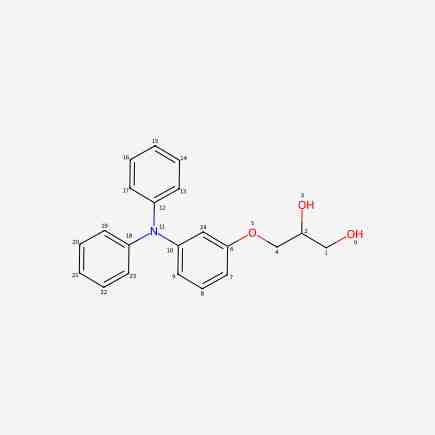 OCC(O)COc1cccc(N(c2ccccc2)c2ccccc2)c1